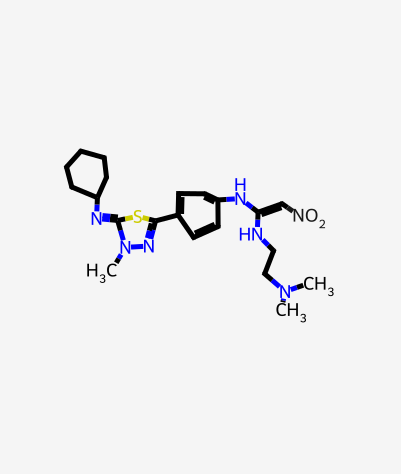 CN(C)CCNC(=C[N+](=O)[O-])Nc1ccc(-c2nn(C)c(=NC3CCCCC3)s2)cc1